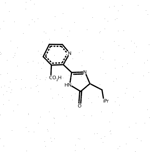 CC(C)CC1N=C(c2ncccc2C(=O)O)NC1=O